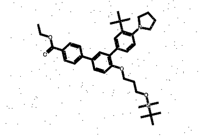 CCOC(=O)c1ccc(-c2ccc(OCCCO[Si](C)(C)C(C)(C)C)c(-c3ccc(N4CCCC4)c(C(C)(C)C)c3)c2)cc1